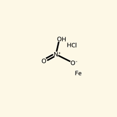 Cl.O=[N+]([O-])O.[Fe]